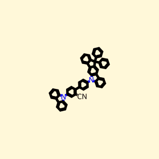 N#Cc1cc(-n2c3ccccc3c3ccccc32)ccc1-c1ccc(-n2c3ccccc3c3cc4c(cc32)-c2ccccc2C4(c2ccccc2)c2ccccc2)cc1